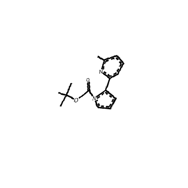 Cc1cccc(-c2cccn2C(=O)OC(C)(C)C)n1